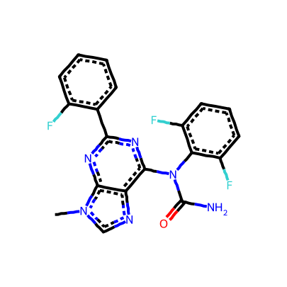 Cn1cnc2c(N(C(N)=O)c3c(F)cccc3F)nc(-c3ccccc3F)nc21